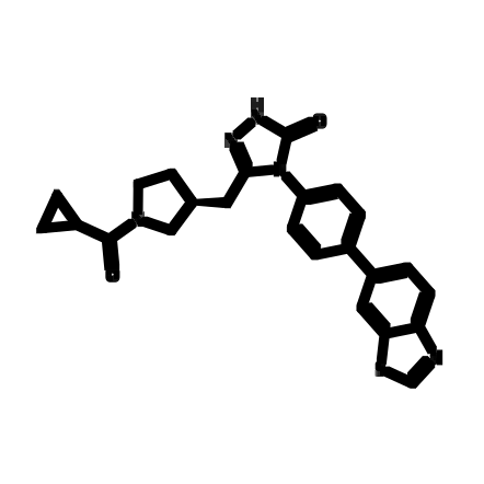 O=C(C1CC1)N1CC[C@@H](Cc2n[nH]c(=O)n2-c2ccc(-c3ccc4ncsc4c3)cc2)C1